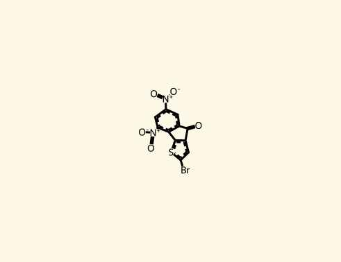 O=C1c2cc(Br)sc2-c2c1cc([N+](=O)[O-])cc2[N+](=O)[O-]